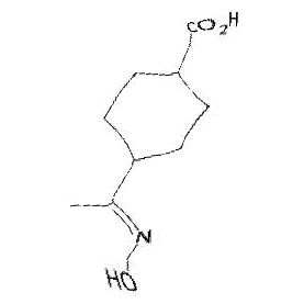 CC(=NO)C1CCC(C(=O)O)CC1